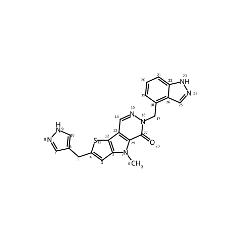 Cn1c2cc(Cc3cn[nH]c3)sc2c2cnn(Cc3cccc4[nH]ncc34)c(=O)c21